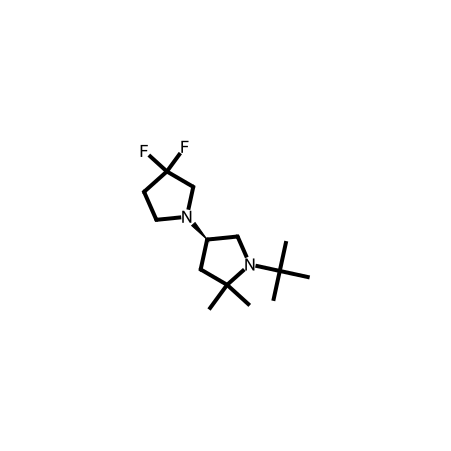 CC(C)(C)N1C[C@H](N2CCC(F)(F)C2)CC1(C)C